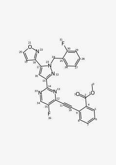 COC(=O)c1ccccc1C#Cc1nc(-c2cc(-c3ccon3)n(Cc3ccccc3F)n2)ncc1F